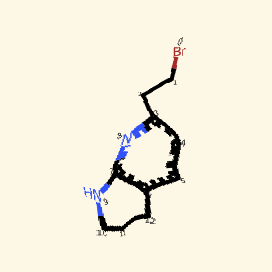 BrCCc1ccc2c(n1)NCCC2